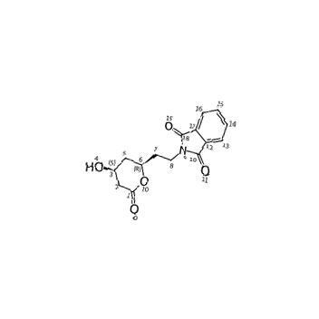 O=C1C[C@@H](O)C[C@@H](CCN2C(=O)c3ccccc3C2=O)O1